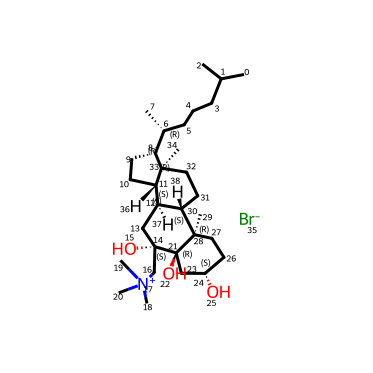 CC(C)CCC[C@@H](C)[C@H]1CC[C@H]2[C@@H]3C[C@](O)(C[N+](C)(C)C)[C@@]4(O)C[C@@H](O)CC[C@]4(C)[C@H]3CC[C@]12C.[Br-]